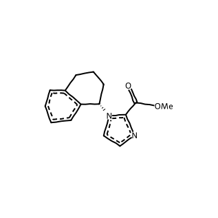 COC(=O)c1nccn1[C@H]1CCCc2ccccc21